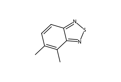 Cc1ccc2nsnc2c1C